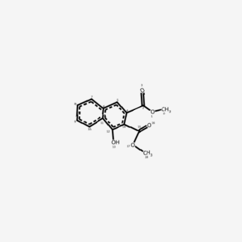 COC(=O)c1cc2ccccc2c(O)c1C(=O)OC